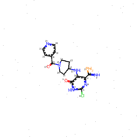 N=C(P)c1nc(Cl)[nH]c(=O)c1NC1CCN(C(=O)c2ccncc2)CC1